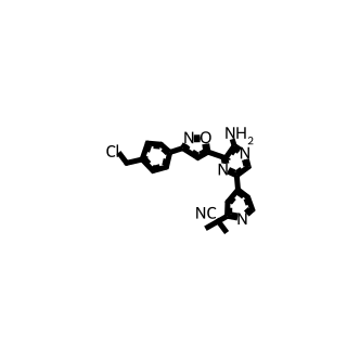 CC(C)(C#N)c1cc(-c2cnc(N)c(-c3cc(-c4ccc(CCl)cc4)no3)n2)ccn1